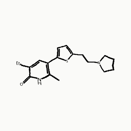 CCc1cc(-c2ccc(CCN3CCCC3)s2)c(C)[nH]c1=O